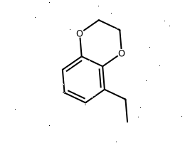 CCc1[c]ccc2c1OCCO2